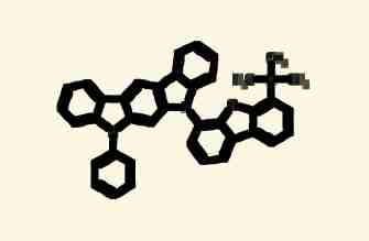 C[Si](C)(C)c1cccc2c1oc1c(-n3c4ccccc4c4cc5c6ccccc6n(-c6ccccc6)c5cc43)cccc12